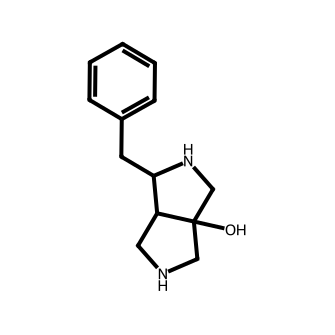 OC12CNCC1C(Cc1ccccc1)NC2